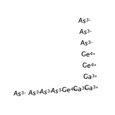 [As-3].[As-3].[As-3].[As-3].[As-3].[As-3].[As-3].[Ga+3].[Ga+3].[Ga+3].[Ge+4].[Ge+4].[Ge+4]